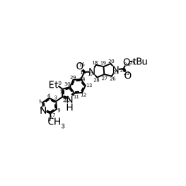 CCc1c(-c2ccnc(C)c2)[nH]c2ccc(C(=O)N3CC4CN(C(=O)OC(C)(C)C)CC4C3)cc12